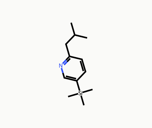 CC(C)Cc1ccc([Si](C)(C)C)cn1